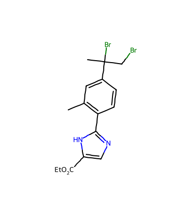 CCOC(=O)c1cnc(-c2ccc(C(C)(Br)CBr)cc2C)[nH]1